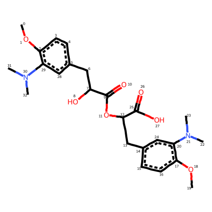 COc1ccc(CC(O)C(=O)OC(Cc2ccc(OC)c(N(C)C)c2)C(=O)O)cc1N(C)C